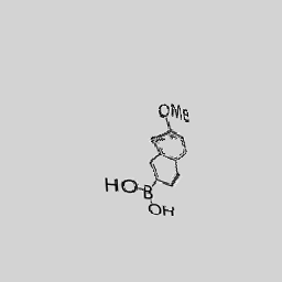 COc1ccc2c(c1)C=C(B(O)O)CC2